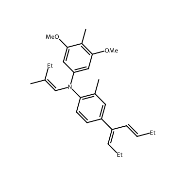 CC/C=C/C(=C\CC)c1ccc(N(/C=C(/C)CC)c2cc(OC)c(C)c(OC)c2)c(C)c1